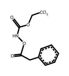 O=C(Cc1ccccc1)ONC(=O)OCC(Cl)(Cl)Cl